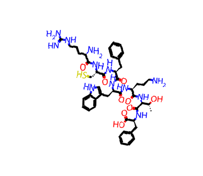 C[C@@H](O)[C@H](NC(=O)[C@H](CCCN)NC(=O)[C@@H](Cc1c[nH]c2ccccc12)NC(=O)[C@H](Cc1ccccc1)NC(=O)[C@H](CS)NC(=O)[C@@H](N)CCCNC(=N)N)C(=O)N[C@@H](Cc1ccccc1)C(=O)O